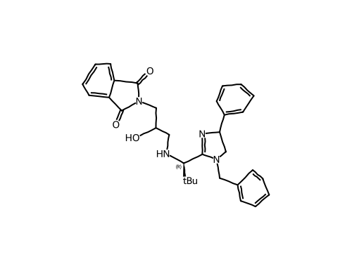 CC(C)(C)[C@@H](NCC(O)CN1C(=O)c2ccccc2C1=O)C1=NC(c2ccccc2)CN1Cc1ccccc1